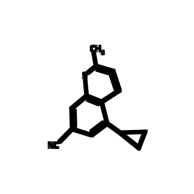 CC1=C=Cc2c(cc(C#N)cc2C2CC2)S1